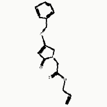 C=CCOC(=O)CN1CC(OCc2ccccc2)=CC1=O